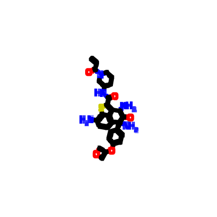 C=CC(=O)N1CCCC(NC(=O)c2sc3c(N)ccc4c3c2C(N)C(=O)C4(N)c2ccc(OC3COC3)cc2)C1